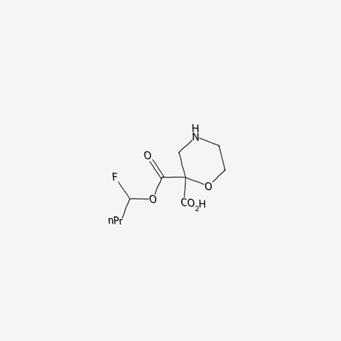 CCCC(F)OC(=O)C1(C(=O)O)CNCCO1